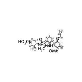 COc1cc(-c2ccnc3c(C(=O)NC4CCN(C(=O)O)CC4O)c(C)[nH]c23)c(OCC2CC2)cc1F